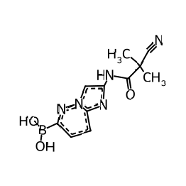 CC(C)(C#N)C(=O)Nc1cn2nc(B(O)O)ccc2n1